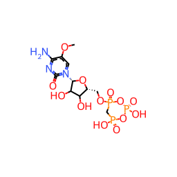 COc1cn([C@@H]2O[C@H](COP3(=O)CP(=O)(O)OP(=O)(O)O3)C(O)C2O)c(=O)nc1N